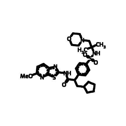 COc1ccc2nc(NC(=O)C(CC3CCCC3)c3ccc(S(=O)(=O)NC(C)(C)CN4CCOCC4)cc3)sc2n1